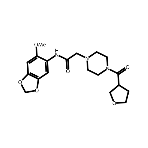 COc1cc2c(cc1NC(=O)CN1CCN(C(=O)C3CCOC3)CC1)OCO2